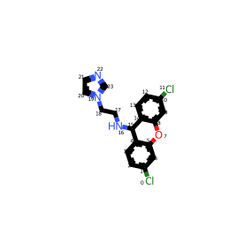 Clc1ccc2c(c1)Oc1cc(Cl)ccc1C2NCCn1ccnc1